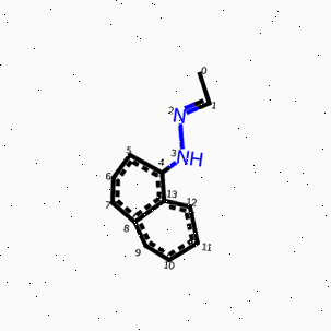 CC=NNc1cccc2ccccc12